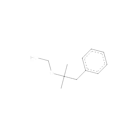 CC(C)(Cc1ccccc1)OCO